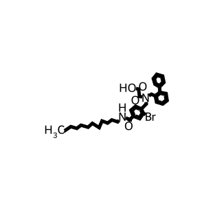 CCCCCCCCCCCCNC(=O)c1ccc(CN(Cc2ccccc2-c2ccccc2)C(=O)C(=O)O)c(Br)c1